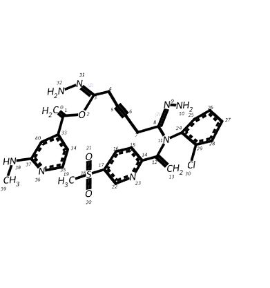 C=C(O/C(CC#CC/C(=N/N)N(C(=C)c1ccc(S(C)(=O)=O)cn1)c1ccccc1Cl)=N\N)c1ccnc(NC)c1